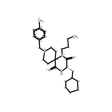 CCCCN1C(=O)[C@H](CC2CCCCC2)NC(=O)C12CCN(Cc1ccc(C)cc1)CC2